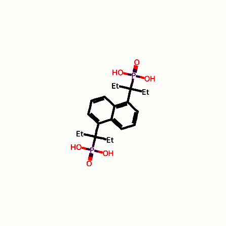 CCC(CC)(c1cccc2c(C(CC)(CC)P(=O)(O)O)cccc12)P(=O)(O)O